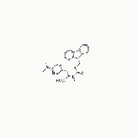 CN(C)c1ccc(CC(C(=O)O)N(C)C(=O)OCC2c3ccccc3-c3ccccc32)cn1